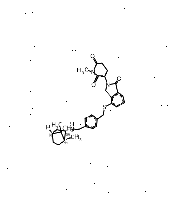 CN1C(=O)CCC(N2Cc3c(SCc4ccc(CN[C@H]5C[C@H]6CC[C@]5(C)C6(C)C)cc4)cccc3C2=O)C1=O